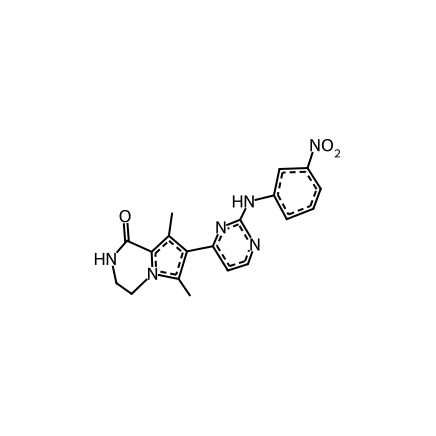 Cc1c(-c2ccnc(Nc3cccc([N+](=O)[O-])c3)n2)c(C)n2c1C(=O)NCC2